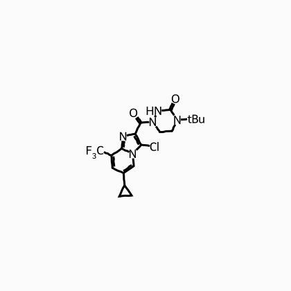 CC(C)(C)N1CCN(C(=O)c2nc3c(C(F)(F)F)cc(C4CC4)cn3c2Cl)NC1=O